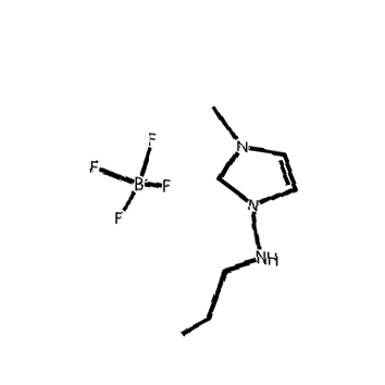 CCCNN1C=CN(C)C1.F[B-](F)(F)F